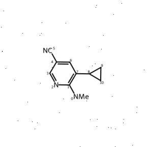 CNc1ncc(C#N)cc1C1CC1